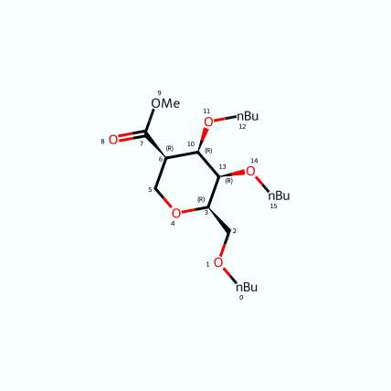 CCCCOC[C@H]1OC[C@@H](C(=O)OC)[C@@H](OCCCC)[C@H]1OCCCC